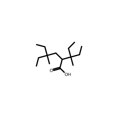 CCC(C)(CC)CC(C(=O)O)C(C)(CC)CC